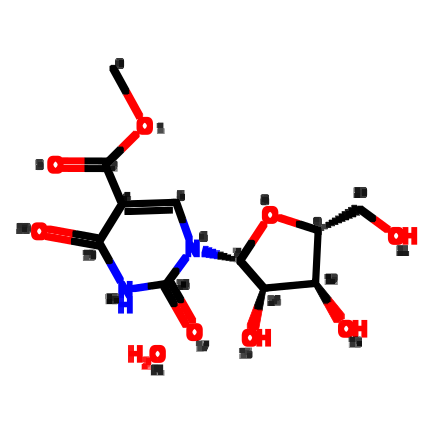 COC(=O)c1cn([C@@H]2O[C@H](CO)[C@@H](O)[C@H]2O)c(=O)[nH]c1=O.O